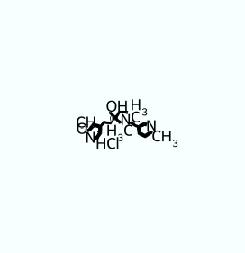 COc1cc(CC[C@@]2(CO)CCN(C(C)(C)c3ccc(C)nc3)C2)ccn1.Cl